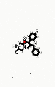 O=C1CN(Cc2c(-c3ccccc3)nc3cc(F)ccc3c2C(=O)O)CCN1